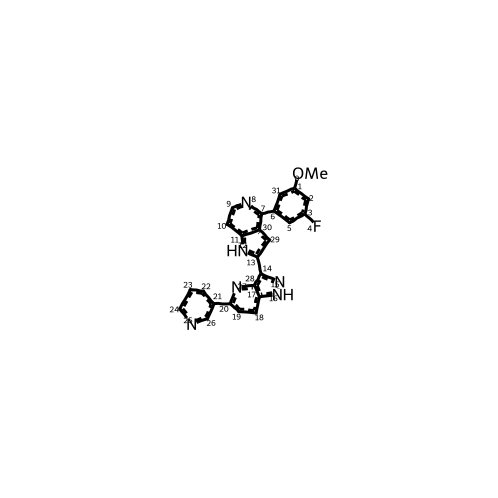 COc1cc(F)cc(-c2nccc3[nH]c(-c4n[nH]c5ccc(-c6cccnc6)nc45)cc23)c1